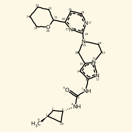 C[C@H]1C[C@H](NC(=O)Nc2cc3n(n2)CCN(c2nccc(C4CCCCO4)n2)C3)C1